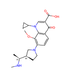 CN[C@@H](C)[C@@H]1CCN(c2ccc3c(=O)c(C(=O)O)cn(C4CC4)c3c2OC)C1